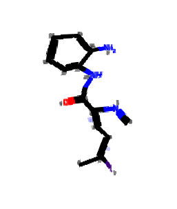 C=N/C(=C\C=C(/C)I)C(=O)Nc1ccccc1N